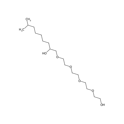 CC(C)CCCCCC(O)COCCOCCOCCOCCO